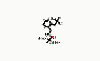 CCCCCCC(C)(CCCCCC)C(=O)BCc1cccbc1CC(C)(CC)CCCC